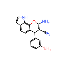 Bc1cccc(C2C(C#N)=C(N)Oc3c2ccc2cc[nH]c32)c1